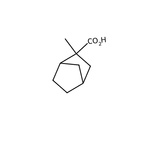 CC1(C(=O)O)CC2CCC1C2